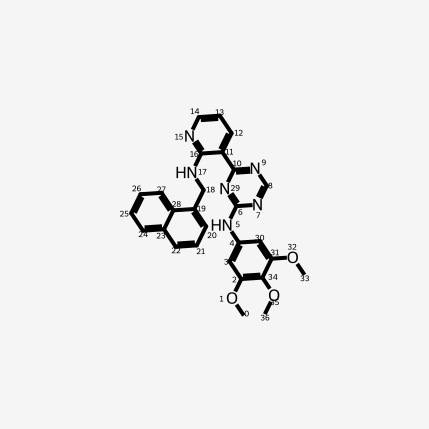 COc1cc(Nc2ncnc(-c3cccnc3NCc3cccc4ccccc34)n2)cc(OC)c1OC